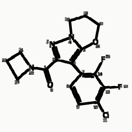 O=C(c1nn2c(c1-c1ccc(Cl)c(F)c1F)OCCC2)N1CCC1